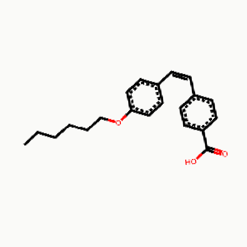 CCCCCCOc1ccc(/C=C\c2ccc(C(=O)O)cc2)cc1